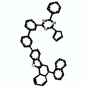 C1=CCC(c2nc(-c3ccccc3)nc(-c3cccc(-c4cccc(-c5ccc6c7c(oc6c5)C5C=CC=CC5C(c5cccc6ccccc56)=C7)c4)c3)n2)=C1